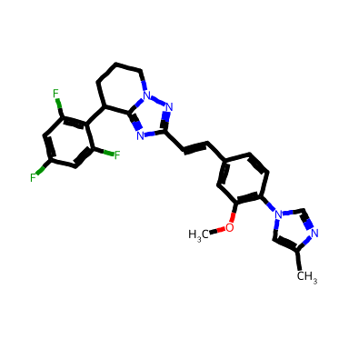 COc1cc(/C=C/c2nc3n(n2)CCCC3c2c(F)cc(F)cc2F)ccc1-n1cnc(C)c1